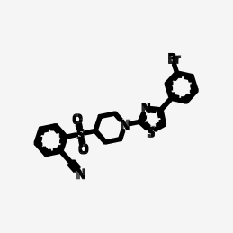 N#Cc1ccccc1S(=O)(=O)C1CCN(c2nc(-c3cccc(Br)c3)cs2)CC1